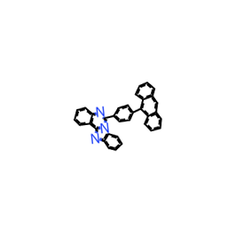 c1ccc2c(-c3ccc(-c4nc5ccccc5c5nc6ccccc6n45)cc3)c3ccccc3cc2c1